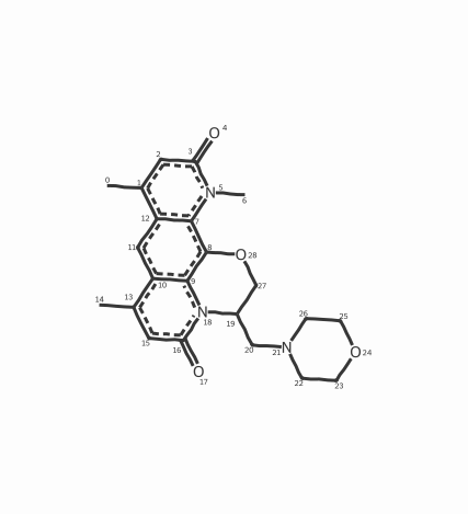 Cc1cc(=O)n(C)c2c3c4c(cc12)c(C)cc(=O)n4C(CN1CCOCC1)CO3